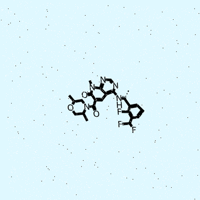 CC1CN(C(=O)c2cc3c(N[C@H](C)c4cccc(C(F)F)c4F)ncnc3n(C)c2=O)C(C)CO1